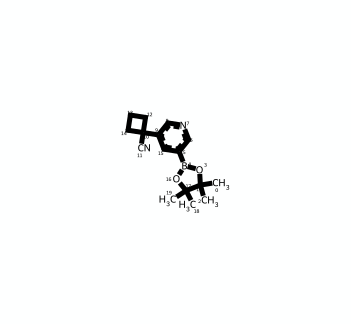 CC1(C)OB(c2cncc(C3(C#N)CCC3)c2)OC1(C)C